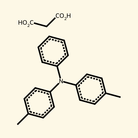 Cc1ccc(N(c2ccccc2)c2ccc(C)cc2)cc1.O=C(O)CC(=O)O